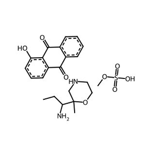 CCC(N)C1(C)CNCCO1.COS(=O)(=O)O.O=C1c2ccccc2C(=O)c2c(O)cccc21